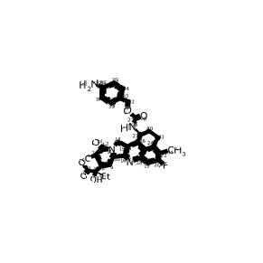 CC[C@@]1(O)C(=O)OCc2c1cc1n(c2=O)Cc2c-1nc1cc(F)c(C)c3c1c2[C@@H](NC(=O)OCc1ccc(N)cc1)CC3